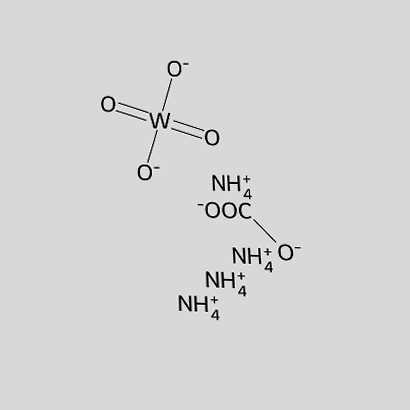 O=C([O-])[O-].[NH4+].[NH4+].[NH4+].[NH4+].[O]=[W](=[O])([O-])[O-]